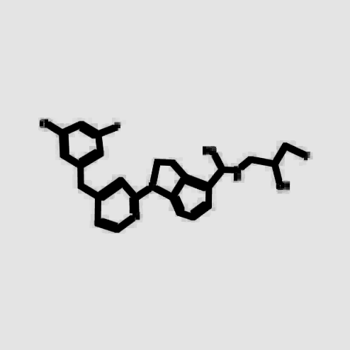 OC(CF)CNC(O)c1cccc2c1CCN2c1cc(Cc2cc(F)cc(Cl)c2)ccn1